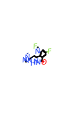 Cn1ncnc1Cc1n[nH]c(=O)c2cc(F)cc(/N=C/F)c12